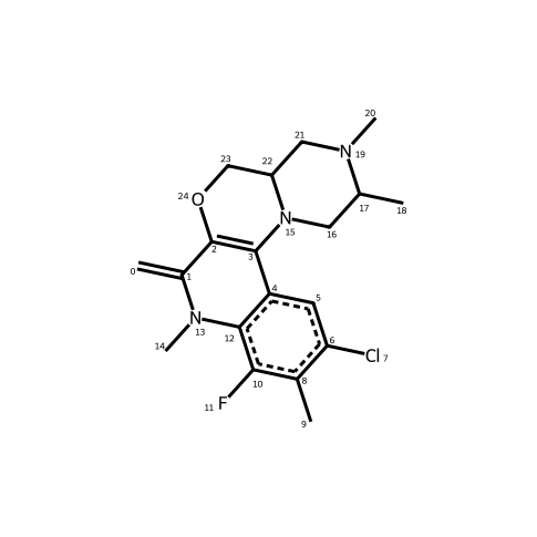 C=C1C2=C(c3cc(Cl)c(C)c(F)c3N1C)N1CC(C)N(C)CC1CO2